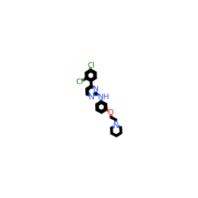 Clc1ccc(-c2ccnc(Nc3cccc(OCCN4CCCCC4)c3)n2)c(Cl)c1